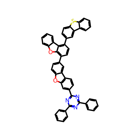 c1ccc(-c2nc(-c3ccccc3)nc(-c3ccc4c(c3)oc3ccc(-c5ccc(-c6ccc7sc8ccccc8c7c6)c6c5oc5ccccc56)cc34)n2)cc1